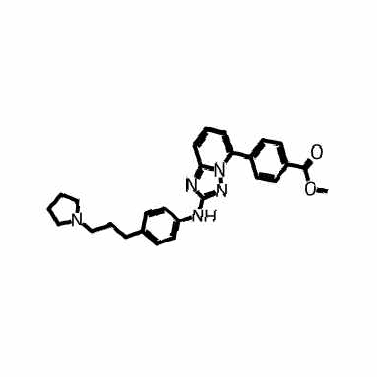 COC(=O)c1ccc(-c2cccc3nc(Nc4ccc(CCCN5CCCC5)cc4)nn23)cc1